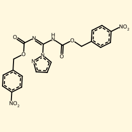 O=C(N=C(NC(=O)OCc1ccc([N+](=O)[O-])cc1)n1cccn1)OCc1ccc([N+](=O)[O-])cc1